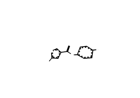 CCc1cc(C(=O)Oc2ccc([N+](=O)[O-])cc2)c[nH]1